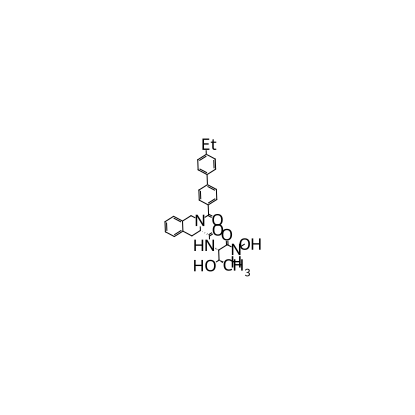 CCc1ccc(-c2ccc(C(=O)N3Cc4ccccc4C[C@H]3C(=O)N[C@H](C(=O)NO)[C@@H](C)O)cc2)cc1